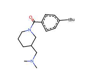 CN(C)CC1CCCN(C(=O)c2ccc(C(C)(C)C)cc2)C1